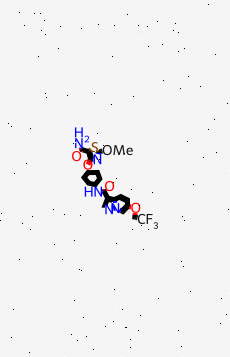 COc1nc(O[C@H]2CC[C@H](NC(=O)c3cnn4cc(OCC(F)(F)F)ccc34)CC2)c(C(N)=O)s1